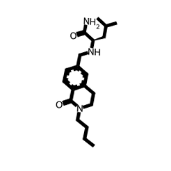 CCCCN1CCc2cc(CN[C@H](CC(C)C)C(N)=O)ccc2C1=O